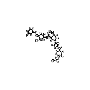 CP(C)(=O)CN1CCN(Cc2ccc(-c3ccc4ncnc(Nc5ccc(OCc6cccc(F)c6)c(Cl)c5)c4c3)o2)CC1